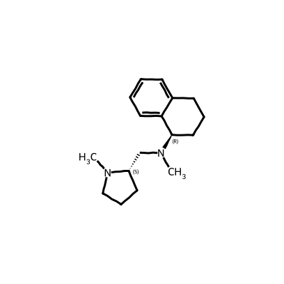 CN1CCC[C@H]1CN(C)[C@@H]1CCCc2ccccc21